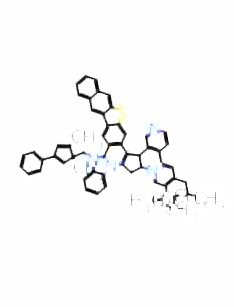 CC1=CC(c2ccccc2)=CC1(C)Cn1c2ccccc2[n+]2c3c(c4cc5sc6cc7ccccc7cc6c5cc4c12)C1c2cnccc2-c2cc(CC(C)C)c([Si](C)(C)C)c[n+]2C1C3